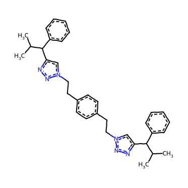 CC(C)C(c1ccccc1)c1cn(CCc2ccc(CCn3cc(C(c4ccccc4)C(C)C)nn3)cc2)nn1